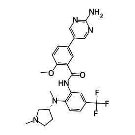 COc1ccc(-c2cnc(N)nc2)cc1C(=O)Nc1cc(C(F)(F)F)ccc1N(C)[C@@H]1CCN(C)C1